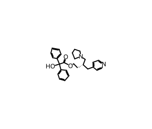 O=C(OCC[C@@H](Cc1ccncc1)CN1CCCC1)C(O)(c1ccccc1)c1ccccc1